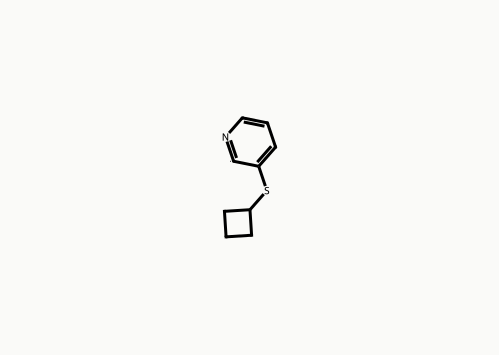 [c]1ncccc1SC1CCC1